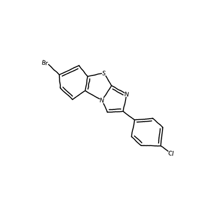 Clc1ccc(-c2cn3c(n2)sc2cc(Br)ccc23)cc1